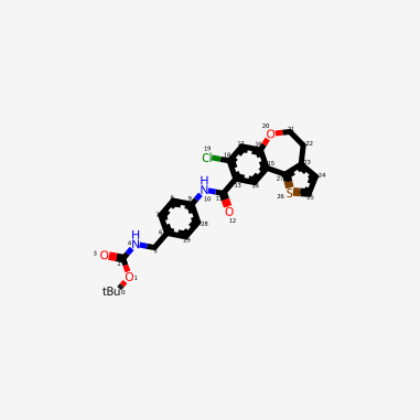 CC(C)(C)OC(=O)NCc1ccc(NC(=O)c2cc3c(cc2Cl)OCCc2ccsc2-3)cc1